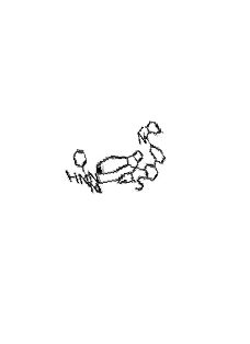 C1=CC2Sc3ccc(-c4cccc(-c5nccc6ccccc56)c4)cc3C3(c4ccccc4-c4ccccc43)C2C=C1C1=NC(c2ccccc2)NC=N1